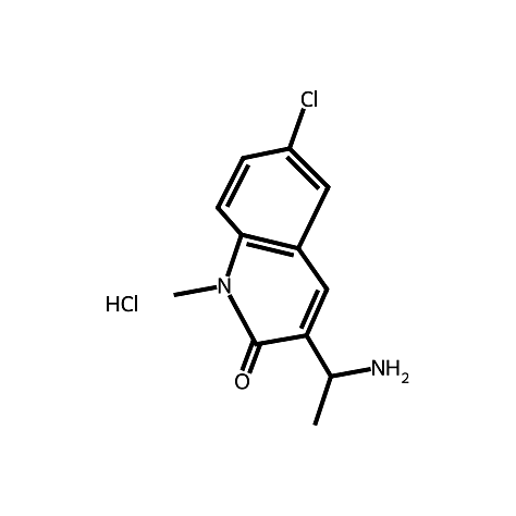 CC(N)c1cc2cc(Cl)ccc2n(C)c1=O.Cl